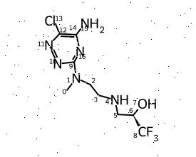 CN(CCNC[C@@H](O)C(F)(F)F)c1nnc(Cl)c(N)n1